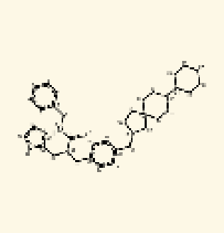 O=C(OCc1ccccc1)N(Cc1ccc(CN2CCC3(CCN(C4CCCCC4)CC3)C2)cc1)Cc1ncc[nH]1